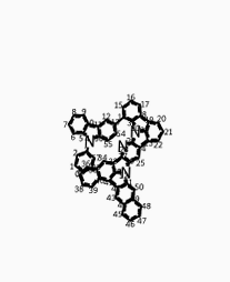 c1ccc(-n2c3ccccc3c3cc(-c4cccc5c6cccc7c8cc9c(nc8n(c45)c76)c4cc5ccccc5c5c6cc7ccccc7cc6n9c45)ccc32)cc1